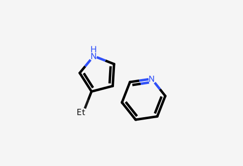 CCc1cc[nH]c1.c1ccncc1